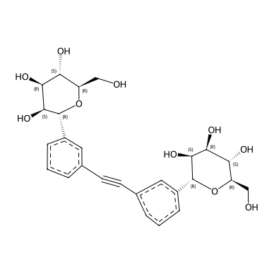 OC[C@H]1O[C@H](c2cccc(C#Cc3cccc([C@H]4O[C@H](CO)[C@@H](O)[C@H](O)[C@@H]4O)c3)c2)[C@@H](O)[C@@H](O)[C@@H]1O